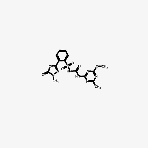 COc1nc(C)nc(NC(=O)NS(=O)(=O)c2ccccc2-c2nn(C)c(=O)o2)n1